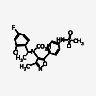 Cc1noc(-c2ccc(NS(C)(=O)=O)cc2)c1N(C(=O)O)[C@H](C)c1ccc(F)cc1Cl